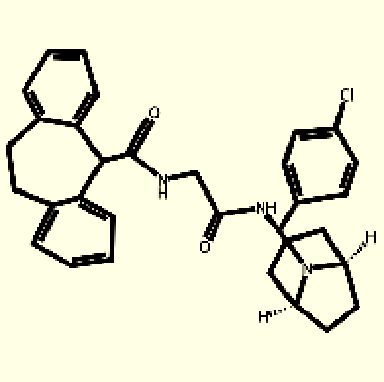 O=C(CNC(=O)C1c2ccccc2CCc2ccccc21)N[C@H]1C[C@H]2CC[C@@H](C1)N2Cc1ccc(Cl)cc1